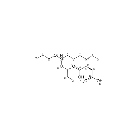 CCCO[SiH](CCCN(CC)[C@@H](CC(=O)O)C(=O)O)OCCC